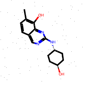 Cc1ccc2cnc(N[C@H]3CC[C@H](O)CC3)nc2c1O